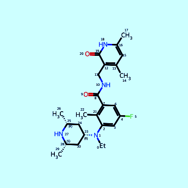 CCN(c1cc(F)cc(C(=O)NCc2c(C)cc(C)[nH]c2=O)c1C)[C@H]1C[C@@H](C)N[C@@H](C)C1